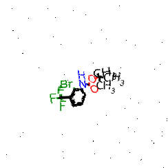 CC(C)(C)OC(=O)Nc1cccc(C(F)(F)F)c1Br